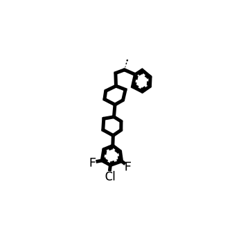 C[C@@H](CC1CCC(C2CCC(c3cc(F)c(Cl)c(F)c3)CC2)CC1)c1ccccc1